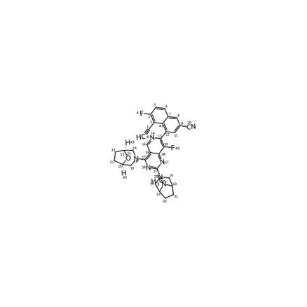 C#Cc1c(F)ccc2cc(C#N)cc(-c3ncc4c(N5C[C@H]6CC[C@@H](C5)O6)nc(N5CC6CCC(C5)N6C)nc4c3F)c12